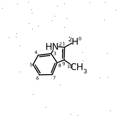 [2H]c1[nH]c2ccccc2c1C